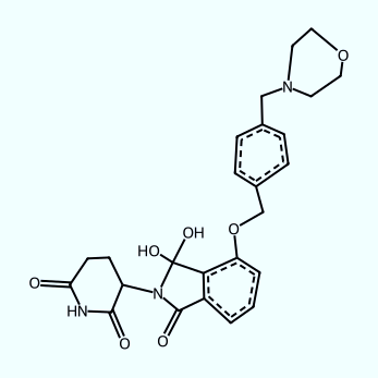 O=C1CCC(N2C(=O)c3cccc(OCc4ccc(CN5CCOCC5)cc4)c3C2(O)O)C(=O)N1